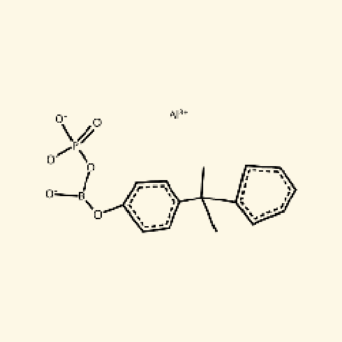 CC(C)(c1ccccc1)c1ccc(OB([O-])OP(=O)([O-])[O-])cc1.[Al+3]